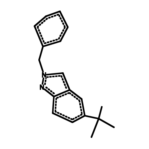 CC(C)(C)c1ccc2nn(Cc3ccccc3)cc2c1